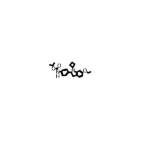 CCOc1ccc2c(c1)N(C1CCC1)C(c1ccc(NC(=O)OC(C)C)cc1)C2